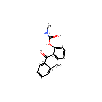 CC(C)NC(=O)Oc1ccccc1C(=O)c1ccccc1[C]=O